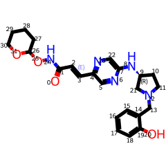 O=C(/C=C/c1cnc(N[C@@H]2CCN(Cc3ccccc3O)C2)cn1)NOC1CCCCO1